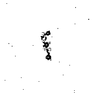 Cc1c(CN2CCN(C(=O)C3CCCC3)C(C)C2)cc(F)cc1NC(=O)CCc1cccc(F)c1